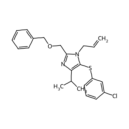 C=CCn1c(COCc2ccccc2)nc(C(C)C)c1Sc1cccc(Cl)c1